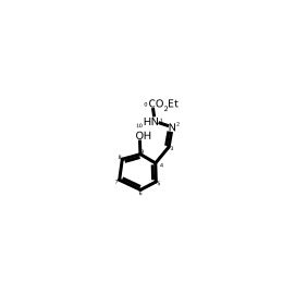 CCOC(=O)N/N=C\c1ccccc1O